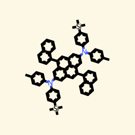 Cc1ccc(N(c2ccc([Si](C)(C)C)cc2)c2cc3cc(-c4cccc5ccccc45)c4cc(N(c5ccc(C)cc5)c5ccc([Si](C)(C)C)cc5)cc5cc(-c6cccc7ccccc67)c(c2)c3c54)cc1